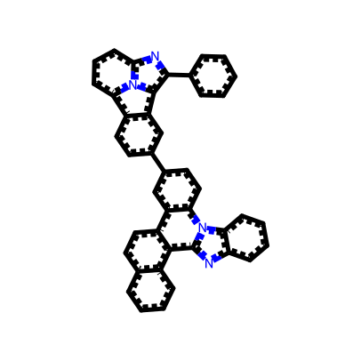 c1ccc(-c2nc3cccc4c5ccc(-c6ccc7c(c6)c6ccc8ccccc8c6c6nc8ccccc8n76)cc5c2n34)cc1